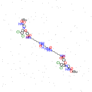 CC(C)(C)OC(=O)N[C@@H]1CCCN(C2Cc3c(Cl)cc(Cl)cc3[C@@H]2Oc2ccc(S(=O)(=O)NCCCCCCCCNC(=O)NCCCCNC(=O)NCCCCCCCCNS(=O)(=O)c3ccc(O[C@H]4c5cc(Cl)cc(Cl)c5C[C@@H]4N4CCC[C@@H](NC(=O)OC(C)(C)C)C4)cc3)cc2)C1